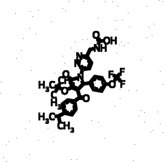 CC(C)c1ccc(C(=O)C2=C(OC(C)(C)C)C(=O)N(c3ccc(CNC(=O)O)nn3)C2c2ccc(OC(F)(F)F)cc2)cc1